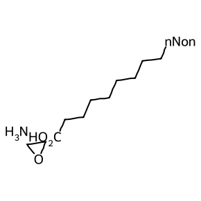 C1CO1.CCCCCCCCCCCCCCCCCC(=O)O.N